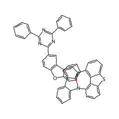 c1ccc(-c2nc(-c3ccccc3)nc(-c3ccc4oc5ccc(-c6cccc7sc8cccc(-n9c%10ccccc%10c%10ccccc%109)c8c67)cc5c4c3)n2)cc1